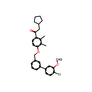 Cc1c(OCc2cccc(-c3ccc(Cl)c(OC=O)c3)c2)ccc(C(=O)CC2CCCC2)c1C